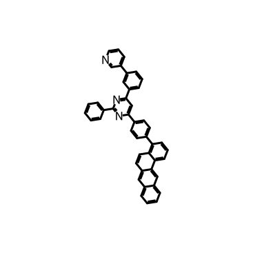 c1ccc(-c2nc(-c3ccc(-c4cccc5c4ccc4cc6ccccc6cc45)cc3)cc(-c3cccc(-c4cccnc4)c3)n2)cc1